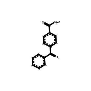 CNC(=O)c1ccc(C(=O)c2ccccc2)cc1